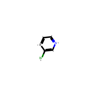 Brc1bccnc1